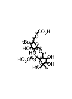 CC(C)(C)C1C(COCC(=O)O)OC(COCC2C(COCC(=O)O)OC(C)(CO)C(O)C2O)C(O)C1O